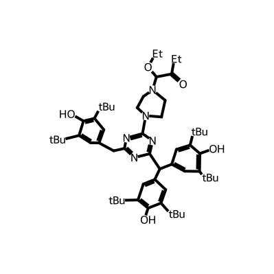 CCOC(C(=O)CC)N1CCN(c2nc(Cc3cc(C(C)(C)C)c(O)c(C(C)(C)C)c3)nc(C(c3cc(C(C)(C)C)c(O)c(C(C)(C)C)c3)c3cc(C(C)(C)C)c(O)c(C(C)(C)C)c3)n2)CC1